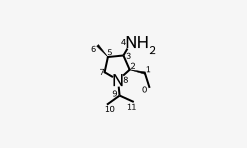 CC[C@@H]1C(N)[C@H](C)CN1C(C)C